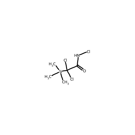 C[Si](C)(C)C(Cl)(Cl)C(=O)NCl